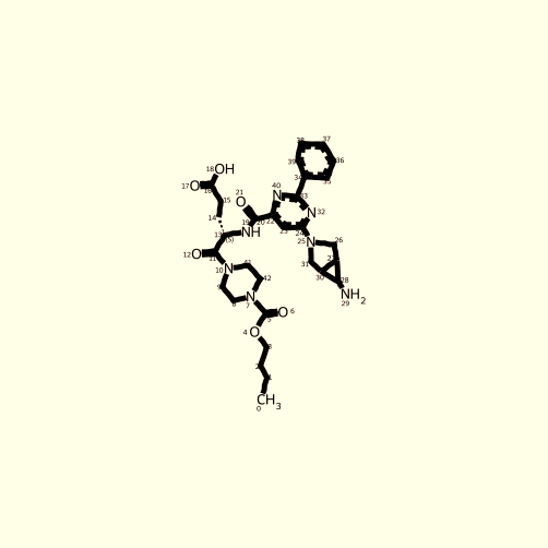 CCCCOC(=O)N1CCN(C(=O)[C@H](CCC(=O)O)NC(=O)c2cc(N3CC4C(N)C4C3)nc(-c3ccccc3)n2)CC1